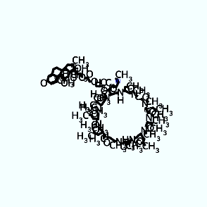 C/C=C/C[C@@H](C)C(OC(=O)COCC(=O)OCC(=O)[C@@]1(O)[C@H](C)CC2C3CCC4=CC(=O)C=C[C@]4(C)[C@@]3(F)[C@@H](O)C[C@@]21C)C1C(=O)NC(CC)C(=O)N(C)CC(=O)N(C)[C@@H](CC(C)C)C(=O)NC(C(C)C)C(=O)N(C)C(CC(C)C)C(=O)NC(C)C(=O)NC(C)C(=O)N(C)C(CC(C)C)C(=O)N(C)C(CC(C)C)C(=O)N(C)C(C(C)C)C(=O)N1C